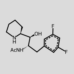 CC(=O)N[C@@H](Cc1cc(F)cc(F)c1)[C@H](O)[C@@H]1CCCCN1